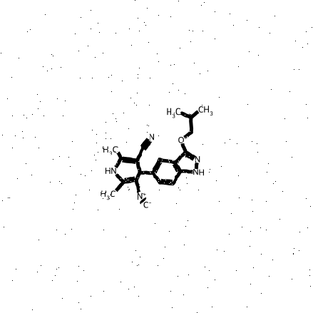 [C-]#[N+]C1=C(C)NC(C)=C(C#N)C1c1ccc2[nH]nc(OCC(C)C)c2c1